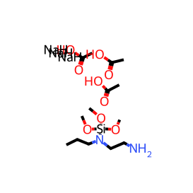 CC(=O)O.CC(=O)O.CC(=O)O.CCCN(CCN)[Si](OC)(OC)OC.[NaH].[NaH].[NaH]